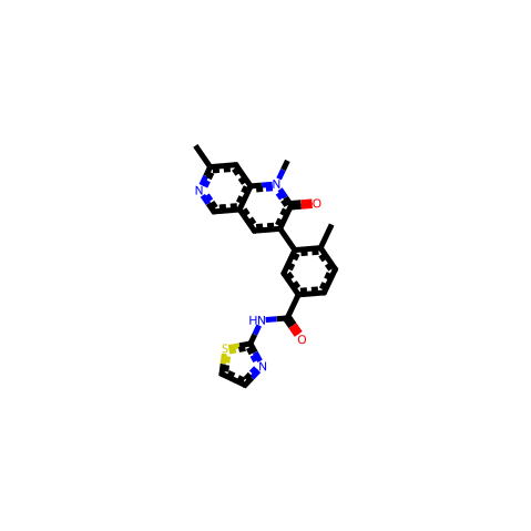 Cc1cc2c(cn1)cc(-c1cc(C(=O)Nc3nccs3)ccc1C)c(=O)n2C